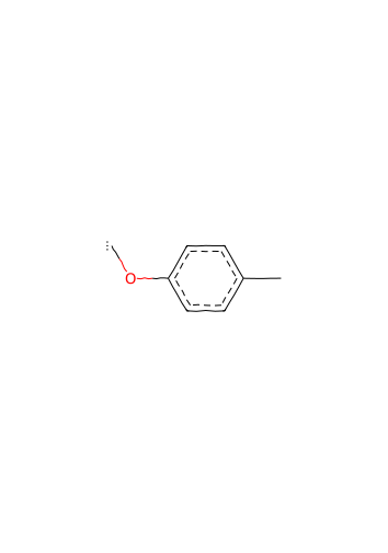 [C]Oc1ccc(C)cc1